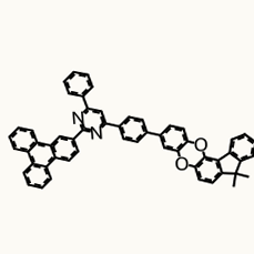 CC1(C)c2ccccc2-c2c1ccc1c2Oc2ccc(-c3ccc(-c4cc(-c5ccccc5)nc(-c5ccc6c7ccccc7c7ccccc7c6c5)n4)cc3)cc2O1